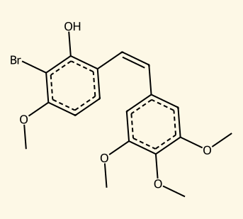 COc1ccc(/C=C\c2cc(OC)c(OC)c(OC)c2)c(O)c1Br